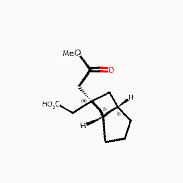 COC(=O)C[C@]1(CC(=O)O)C[C@@H]2CCC[C@@H]21